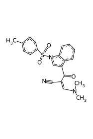 Cc1ccc(S(=O)(=O)n2cc(C(=O)/C(C#N)=C\N(C)C)c3ccccc32)cc1